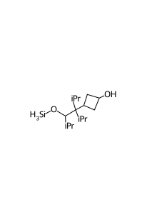 CC(C)C(O[SiH3])C(C(C)C)(C(C)C)C1CC(O)C1